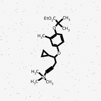 CCOC(=O)C(C)(C)Oc1ccc(OC(CC#C[Si](C)(C)C)C2CC2)cc1C